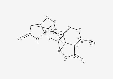 C[C@H]1C2OC(=O)C3C2CC1[C@@H]3CC1C2CC3C1OC(=O)C3[C@@H](C)C2